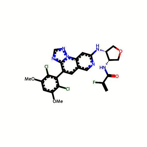 C=C(F)C(=O)N[C@H]1COC[C@H]1Nc1cc2c(cn1)cc(-c1c(Cl)c(OC)cc(OC)c1Cl)c1ncnn12